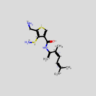 C=C(NC(=O)c1csc(CN)c1SN)/C(C)=C\C=C(/C)[N+](=O)[O-]